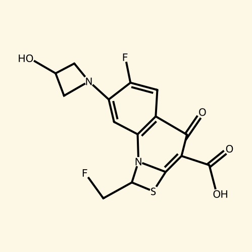 O=C(O)c1c2n(c3cc(N4CC(O)C4)c(F)cc3c1=O)C(CF)S2